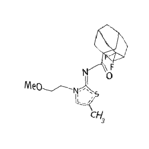 COCCn1cc(C)sc1=NC(=O)C12CC3CC(C1)C(F)(F)C(C3)C2